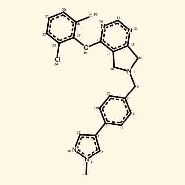 Cn1cc(-c2ccc(CN3Cc4ncnc(Oc5c(F)cccc5Cl)c4C3)cc2)cn1